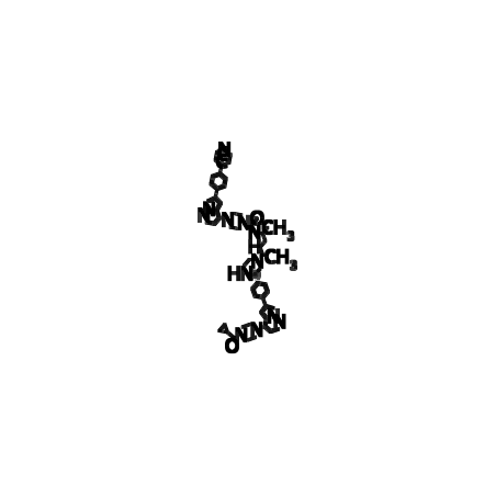 CC(CCC(C)N1CCN[C@@H](c2ccc(-c3cc4c(N5CCN(C(=O)C6CC6)CC5)ccnn4c3)cc2)C1)NC(=O)N1CCN(c2ccnn3cc(-c4ccc(C56CCN(CC5)CC6)cc4)cc23)CC1